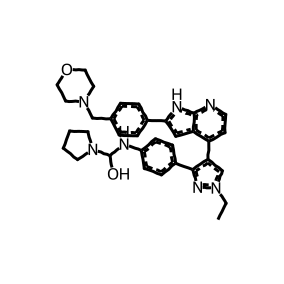 CCn1cc(-c2ccnc3[nH]c(-c4ccc(CN5CCOCC5)cc4)cc23)c(-c2ccc(NC(O)N3CCCC3)cc2)n1